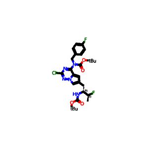 C[C@H](F)[C@@H](Cc1cc2c(N(Cc3ccc(F)cc3)C(=O)OC(C)(C)C)nc(Cl)nn2c1)NC(=O)OC(C)(C)C